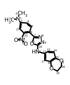 CN(C)c1ccc(-c2nnc(Nc3ccc4c(c3)OCCO4)o2)c([N+](=O)[O-])c1